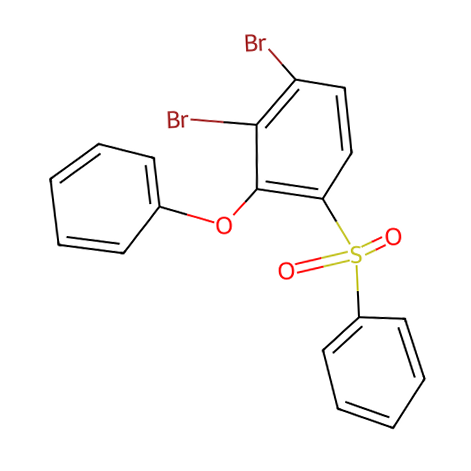 O=S(=O)(c1ccccc1)c1ccc(Br)c(Br)c1Oc1ccccc1